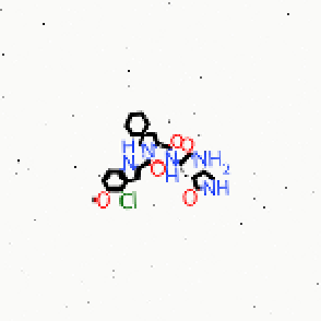 COc1ccc2[nH]c(C(=O)N3CC4(CCCCC4)CC3C(=O)N[C@@H](C[C@@H]3CCNC3=O)C(N)=O)cc2c1Cl